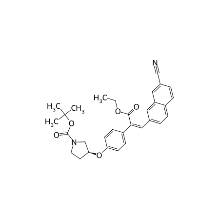 CCOC(=O)C(=Cc1ccc2ccc(C#N)cc2c1)c1ccc(O[C@H]2CCN(C(=O)OC(C)(C)C)C2)cc1